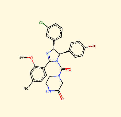 CC(C)Oc1cc(C#N)ccc1C1=N[C@@H](c2cccc(Cl)c2)[C@@H](c2ccc(Br)cc2)N1C(=O)N1CCNC(=O)C1